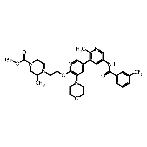 Cc1ncc(NC(=O)c2cccc(C(F)(F)F)c2)cc1-c1cnc(OCCN2CCN(C(=O)OC(C)(C)C)CC2C)c(N2CCOCC2)c1